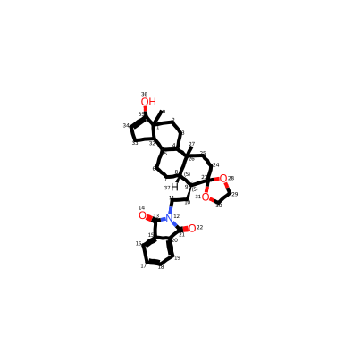 CC12CCC3C(CC[C@H]4[C@H](CCN5C(=O)c6ccccc6C5=O)C5(CCC34C)OCCO5)C1CC=C2O